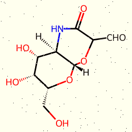 O=CC1O[C@@H]2O[C@H](CO)[C@H](O)[C@H](O)[C@H]2NC1=O